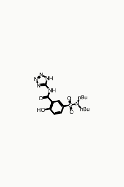 CCCCN(CCCC)S(=O)(=O)c1ccc(O)c(C(=O)Nc2nnn[nH]2)c1